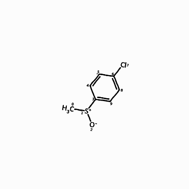 C[S+]([O-])c1c[c]c(Cl)cc1